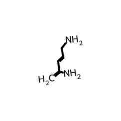 C=C(N)/C=C/CN